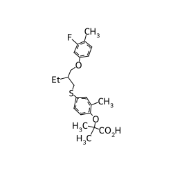 CCC(COc1ccc(C)c(F)c1)CSc1ccc(OC(C)(C)C(=O)O)c(C)c1